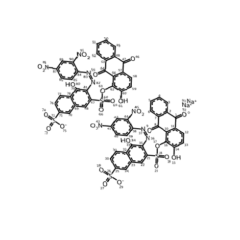 O=C1c2ccccc2C(=O)c2c1ccc(O)c2OS(=O)(=O)c1cc2cc(S(=O)(=O)[O-])ccc2c(O)c1N=Nc1ccc([N+](=O)[O-])cc1[N+](=O)[O-].O=C1c2ccccc2C(=O)c2c1ccc(O)c2OS(=O)(=O)c1cc2cc(S(=O)(=O)[O-])ccc2c(O)c1N=Nc1ccc([N+](=O)[O-])cc1[N+](=O)[O-].[Na+].[Na+]